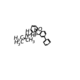 CC(C)(C)NCc1ccccc1Pc1cc(-c2ccccc2)ccc1O